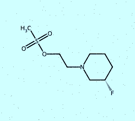 CS(=O)(=O)OCCN1CCC[C@H](F)C1